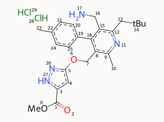 COC(=O)c1cc(OCc2c(C)nc(CC(C)(C)C)c(CN)c2-c2ccc(C)cc2)n[nH]1.Cl.Cl